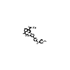 CNC(=O)c1ccnc2c(C(C)[C@H](C)CNc3cc(-c4ccc(N(C)C5CCN(C(C)=O)CC5)nc4)ncn3)cccc12